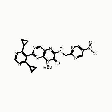 CC[C@@H](C)n1c(=O)c(NCc2ncc([S+]([O-])CC)cn2)nc2cnc(-c3c(C4CC4)ncnc3C3CC3)nc21